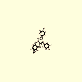 Cc1ccc(OC[C@@H]2Cc3ccc(F)cc3CN2Cc2ccccc2)nc1